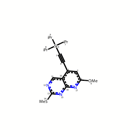 COc1cc(C#C[Si](C(C)C)(C(C)C)C(C)C)c2cnc(SC)nc2n1